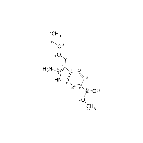 CCOOCc1c(N)[nH]c2cc(C(=O)OC)ccc12